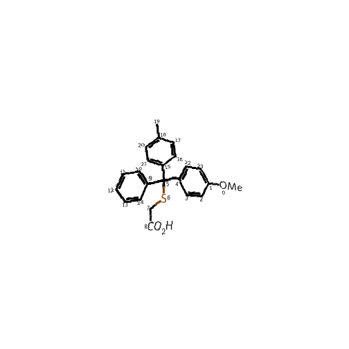 COc1ccc(C(SCC(=O)O)(c2ccccc2)c2ccc(C)cc2)cc1